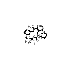 CN(Cc1ccccc1)c1ncnc2c1CN(C(=O)OC(C)(C)C)[C@@H]1C=CCN2C1